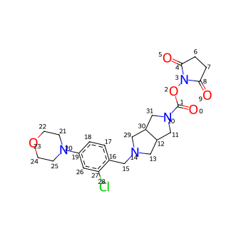 O=C(ON1C(=O)CCC1=O)N1CC2CN(Cc3ccc(N4CCOCC4)cc3Cl)CC2C1